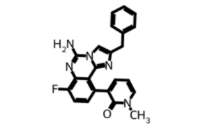 Cn1cccc(-c2ccc(F)c3nc(N)n4cc(Cc5ccccc5)nc4c23)c1=O